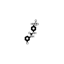 O=C(Nc1ccc(N[SH](=O)=O)cc1)Nc1cccc(Cl)c1